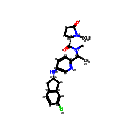 CN(C(=O)[C@@H]1CCC(=O)N1C(=O)O)C(c1ccc(N[C@H]2Cc3ccc(Cl)cc3C2)cn1)C(F)(F)F